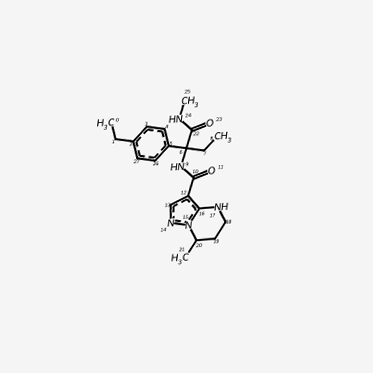 CCc1ccc(C(CC)(NC(=O)c2cnn3c2NCCC3C)C(=O)NC)cc1